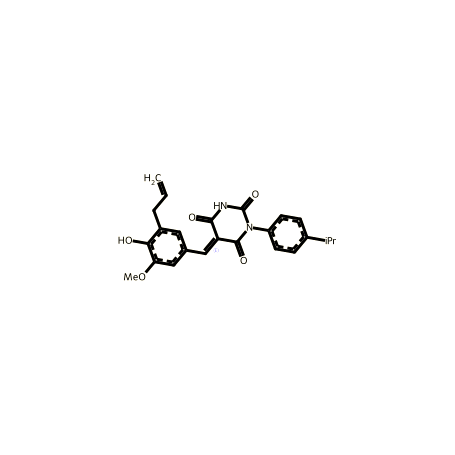 C=CCc1cc(/C=C2\C(=O)NC(=O)N(c3ccc(C(C)C)cc3)C2=O)cc(OC)c1O